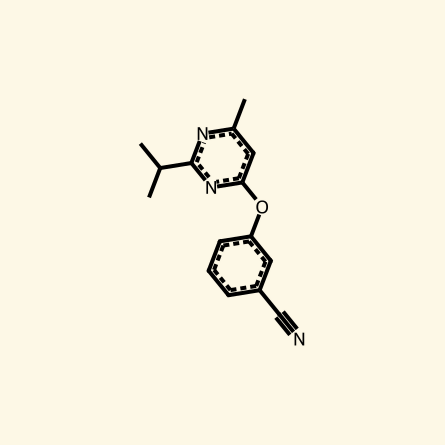 Cc1cc(Oc2cccc(C#N)c2)nc(C(C)C)n1